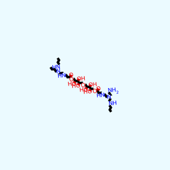 CCCCNCCN(CCN)CCNCCC(=O)OCC(O)C(O)C(O)COCC(O)C(O)C(O)COC(=O)CCNCCN(CCCC)CNCCCC